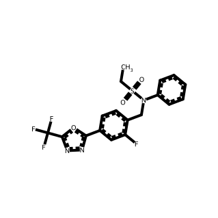 CCS(=O)(=O)N(Cc1ccc(-c2nnc(C(F)(F)F)o2)cc1F)c1ccccc1